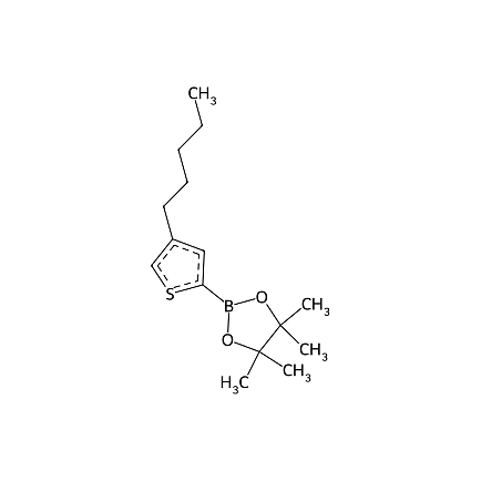 CCCCCc1csc(B2OC(C)(C)C(C)(C)O2)c1